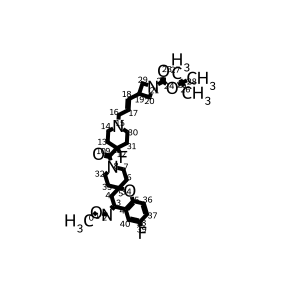 CO/N=C1\CC2(CCN(C(=O)C3(F)CCN(C/C=C/C4CN(C(=O)OC(C)(C)C)C4)CC3)CC2)Oc2ccc(F)cc21